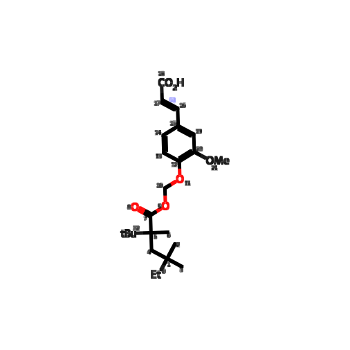 CCC(C)(C)CC(C)(C(=O)OCOc1ccc(/C=C/C(=O)O)cc1OC)C(C)(C)C